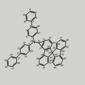 c1ccc(-c2ccc(N(c3ccc(-c4ccccc4)cc3)C3c4ccc5c(c43)-c3ccccc3C53c4ccccc4-c4ccccc43)cc2)cc1